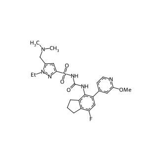 CCn1nc(S(=O)(=O)NC(=O)Nc2c(-c3ccnc(OC)c3)cc(F)c3c2CCC3)cc1CN(C)C